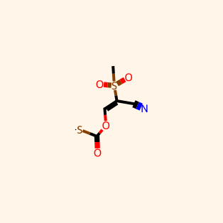 CS(=O)(=O)C(C#N)=COC(=O)[S]